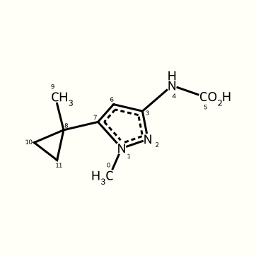 Cn1nc(NC(=O)O)cc1C1(C)CC1